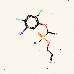 C=CCOP(C)(=O)C(CC)Oc1cc(N)c(F)cc1Cl